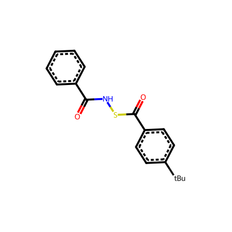 CC(C)(C)c1ccc(C(=O)SNC(=O)c2ccccc2)cc1